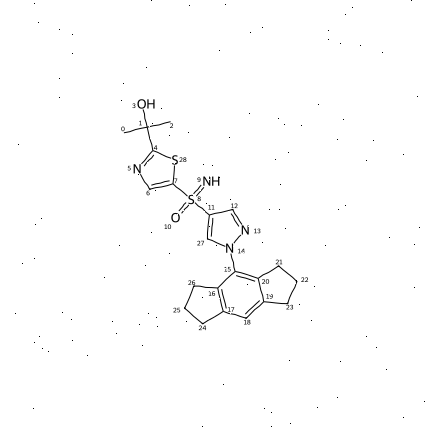 CC(C)(O)c1ncc(S(=N)(=O)c2cnn(-c3c4c(cc5c3CCC5)CCC4)c2)s1